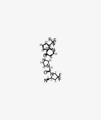 N#CC1CC(F)(F)CN1C(=O)CN1CC[C@H](Oc2ccnc3c(C(F)(F)F)cccc23)C1